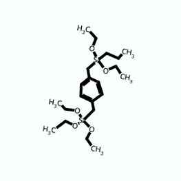 CCC[Si](Cc1ccc(C[Si](OCC)(OCC)OCC)cc1)(OCC)OCC